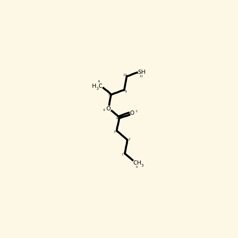 CCCCC(=O)OC(C)CCS